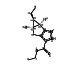 CCOC(=O)c1[nH]nc2c1C[C@H]1[C@@H](CC)[C@@H]21